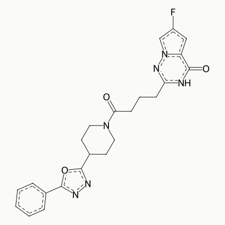 O=C(CCCc1nn2cc(F)cc2c(=O)[nH]1)N1CCC(c2nnc(-c3ccccc3)o2)CC1